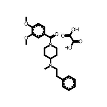 COc1ccc(C(=O)N2CCC(N(C)CCc3ccccc3)CC2)cc1OC.O=C(O)C(=O)O